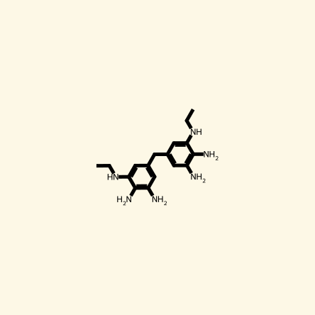 CCNc1cc(Cc2cc(N)c(N)c(NCC)c2)cc(N)c1N